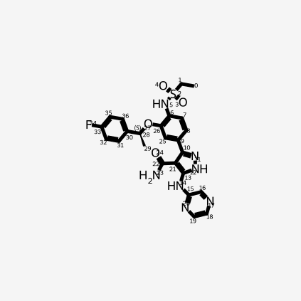 CCS(=O)(=O)Nc1ccc(-c2n[nH]c(Nc3cnccn3)c2C(N)=O)cc1O[C@@H](C)c1ccc(F)cc1